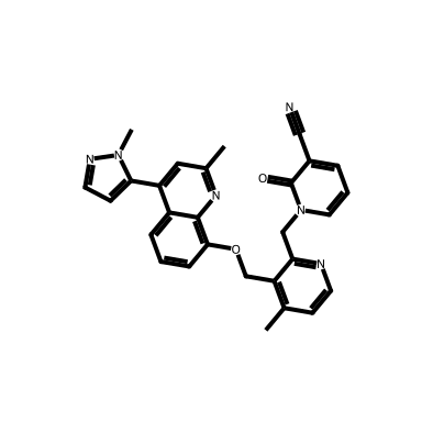 Cc1cc(-c2ccnn2C)c2cccc(OCc3c(C)ccnc3Cn3cccc(C#N)c3=O)c2n1